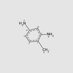 [CH2]c1ccc(N)cc1N